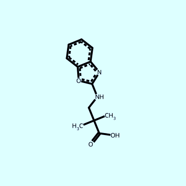 CC(C)(CNc1nc2ccccc2o1)C(=O)O